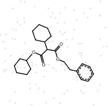 O=C(OCCc1ccccc1)C(C(=O)OC1CCCCC1)C1CCCCC1